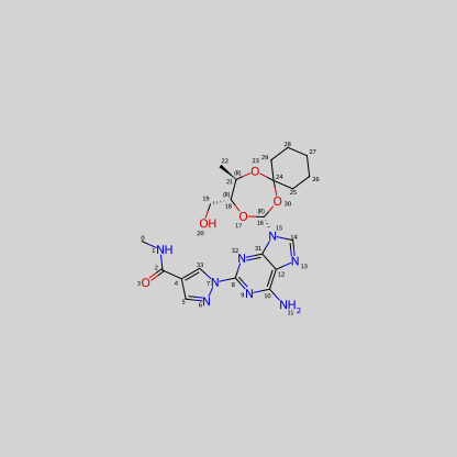 CNC(=O)c1cnn(-c2nc(N)c3ncn([C@@H]4O[C@H](CO)[C@@H](C)OC5(CCCCC5)O4)c3n2)c1